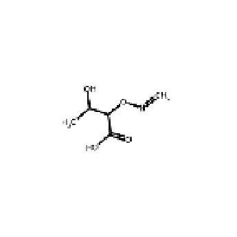 C=NOC(C(=O)O)C(C)O